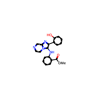 COC(=O)c1ccccc1Nc1c(-c2ccccc2O)nc2cnccn12